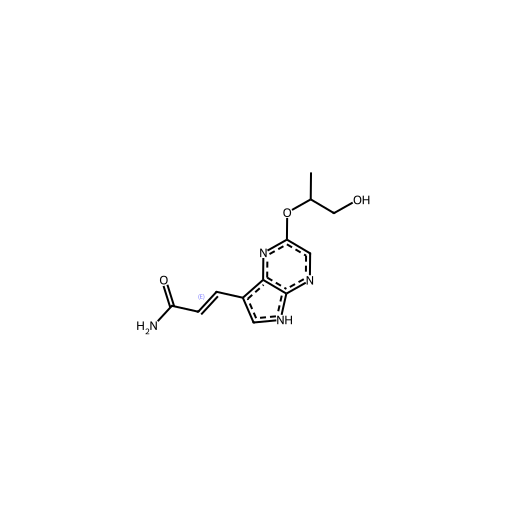 CC(CO)Oc1cnc2[nH]cc(/C=C/C(N)=O)c2n1